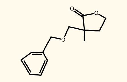 CC1(COCc2ccccc2)CCOC1=O